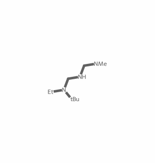 CCN(CNCNC)C(C)(C)C